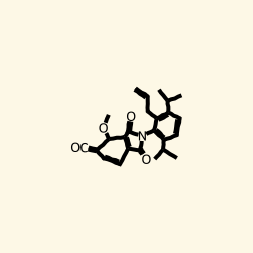 C=CCc1c(C(C)C)ccc(C(C)C)c1N1C(=O)C2=C(C1=O)C(OC)C(=C=O)C=C2